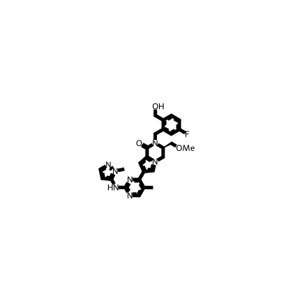 COC[C@H]1Cn2cc(-c3nc(Nc4ccnn4C)ncc3C)cc2C(=O)N1Cc1cc(F)ccc1CO